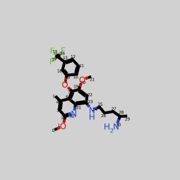 COc1cc(C)c2c(Oc3cccc(C(F)(F)F)c3)c(OC)cc(NCCCC(C)N)c2n1